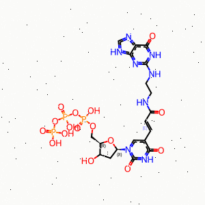 O=C(/C=C/c1cn([C@H]2CC(O)[C@@H](COP(=O)(O)OP(=O)(O)OP(=O)(O)O)O2)c(=O)[nH]c1=O)NCCNc1nc2[nH]cnc2c(=O)[nH]1